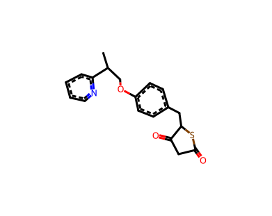 CC(COc1ccc(CC2SC(=O)CC2=O)cc1)c1ccccn1